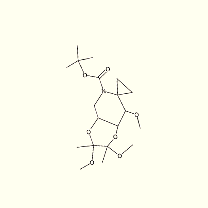 COC1C2OC(C)(OC)C(C)(OC)OC2CN(C(=O)OC(C)(C)C)C12CC2